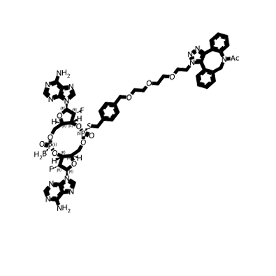 B[P@]1(=O)OC[C@H]2O[C@@H](n3cnc4c(N)ncnc43)[C@H](F)[C@@H]2O[P@@](=O)(SCc2ccc(COCCOCCOCCn3nnc4c3-c3ccccc3CN(C(C)=O)c3ccccc3-4)cc2)OC[C@H]2O[C@@H](n3cnc4c(N)ncnc43)[C@H](F)[C@@H]2O1